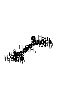 CN1C(C)(C)CC2(CC1(C)C)NC(=O)N(CC(COc1ccc(C(C)(C)c3ccc(OCC(CN4C(=O)NC5(CC(C)(C)N(C)C(C)(C)C5)C4=O)OC(=O)c4ccccc4)cc3)cc1)OC(=O)c1ccccc1)C2=O